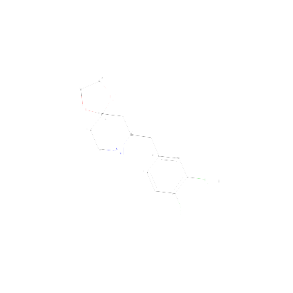 Clc1ccc(CC2CC3(CCN2)OCCO3)cc1Cl